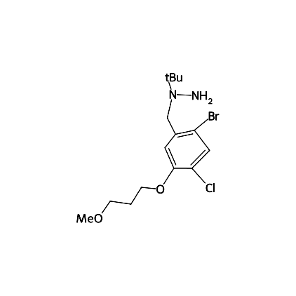 COCCCOc1cc(CN(N)C(C)(C)C)c(Br)cc1Cl